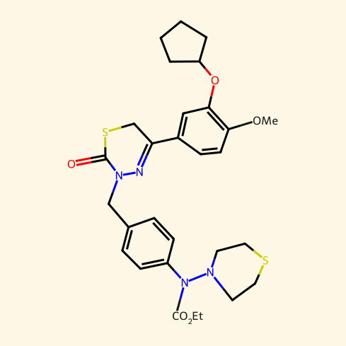 CCOC(=O)N(c1ccc(CN2N=C(c3ccc(OC)c(OC4CCCC4)c3)CSC2=O)cc1)N1CCSCC1